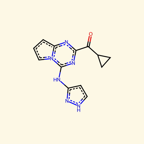 O=C(c1nc(Nc2cc[nH]n2)n2cccc2n1)C1CC1